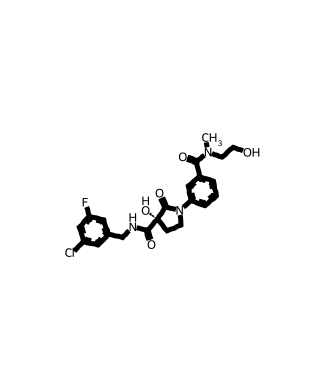 CN(CCO)C(=O)c1cccc(N2CC[C@@](O)(C(=O)NCc3cc(F)cc(Cl)c3)C2=O)c1